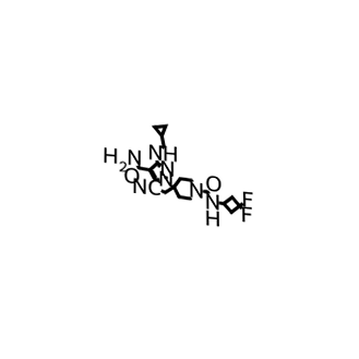 N#CCC1(n2cc(C(N)=O)c(NCC3CC3)n2)CCN(C(=O)NC2CC(F)(F)C2)CC1